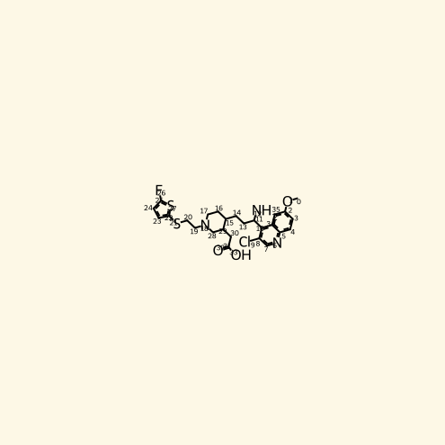 COc1ccc2ncc(Cl)c(C(N)CCC3CCN(CCSc4ccc(F)s4)CC3CC(=O)O)c2c1